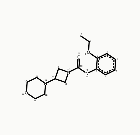 CCOc1ccccc1NC(=O)N1CC(N2CCOCC2)C1